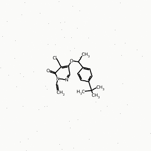 C=Cn1ncc(OC(C)c2ccc(C(C)(C)C)cc2)c(Cl)c1=O